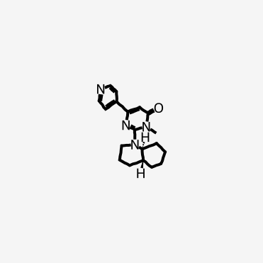 Cn1c(N2CCC[C@H]3CCCC[C@@H]32)nc(-c2ccncc2)cc1=O